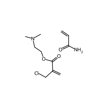 C=C(CCl)C(=O)OCCN(C)C.C=CC(N)=O